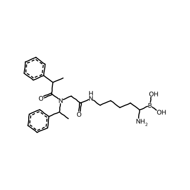 CC(C(=O)N(CC(=O)NCCCCC(N)B(O)O)C(C)c1ccccc1)c1ccccc1